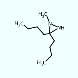 CCCCC1(CCCC)NN1C